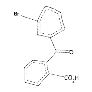 O=C(O)c1ccccc1C(=O)c1cccc(Br)c1